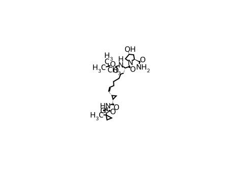 CC(C)(C)OC(=O)N[C@@H](CCCCC/C=C\[C@@H]1C[C@@H]1C(=O)NS(=O)(=O)C1(C)CC1)C(=O)N1C[C@H](O)C[C@H]1C(N)=O